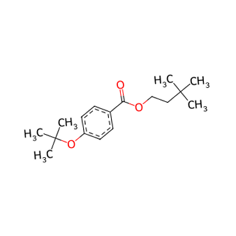 CC(C)(C)CCOC(=O)c1ccc(OC(C)(C)C)cc1